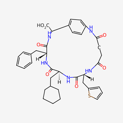 O=C1CCC(=O)N[C@H](Cc2cccs2)C(=O)N[C@@H](CC2CCCCC2)C(=O)N[C@H](Cc2ccccc2)C(=O)NC(C(=O)O)c2ccc(cc2)N1